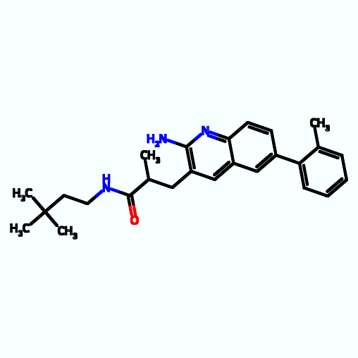 Cc1ccccc1-c1ccc2nc(N)c(CC(C)C(=O)NCCC(C)(C)C)cc2c1